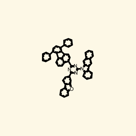 c1ccc(-c2ccc(-c3ccccc3)c3c2-c2cccc4c(-c5nc(-c6ccc7c(c6)oc6ccccc67)nc(-n6c7ccccc7c7cc8ccccc8cc76)n5)ccc-3c24)cc1